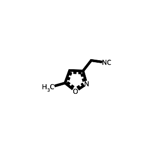 [C-]#[N+]Cc1cc(C)on1